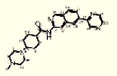 CN1CCN(C2CCC(C(=O)Nc3cc4cc(-c5cnccn5)ccc4cn3)CC2)CC1